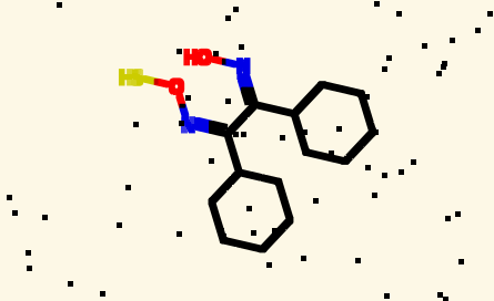 O/N=C(\C(=N/OS)C1CCCCC1)C1CCCCC1